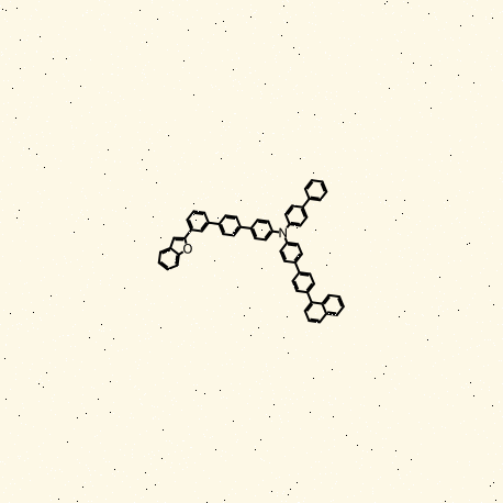 c1ccc(-c2ccc(N(c3ccc(-c4ccc(-c5cccc(-c6cc7ccccc7o6)c5)cc4)cc3)c3ccc(-c4ccc(-c5cccc6ccccc56)cc4)cc3)cc2)cc1